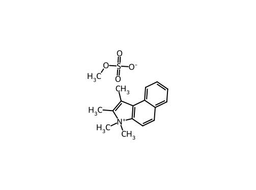 CC1=C(C)[N+](C)(C)c2ccc3ccccc3c21.COS(=O)(=O)[O-]